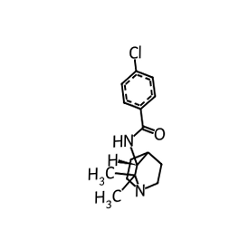 CC1(C)[C@H](NC(=O)c2ccc(Cl)cc2)C2CCN1CC2